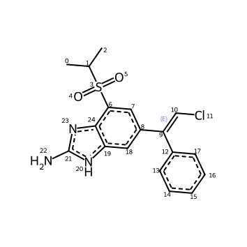 CC(C)S(=O)(=O)c1cc(/C(=C/Cl)c2ccccc2)cc2[nH]c(N)nc12